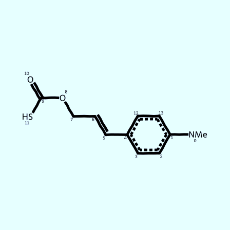 CNc1ccc(/C=C/COC(=O)S)cc1